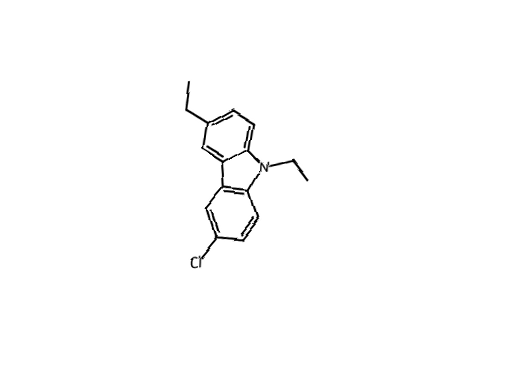 CCc1ccc2c(c1)c1cc(Cl)ccc1n2CC